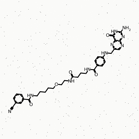 N#Cc1cccc(C(=O)NCCCCCOCCNC(=O)CCCNC(=O)c2ccc(NCc3cnc4nc(N)[nH]c(=O)c4n3)cc2)c1